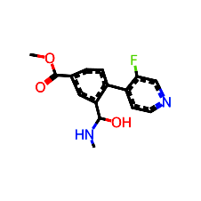 CNC(O)c1cc(C(=O)OC)ccc1-c1ccncc1F